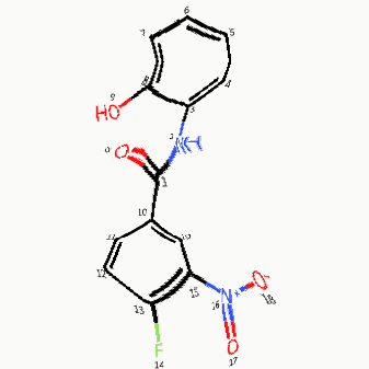 O=C(Nc1ccccc1O)c1ccc(F)c([N+](=O)[O-])c1